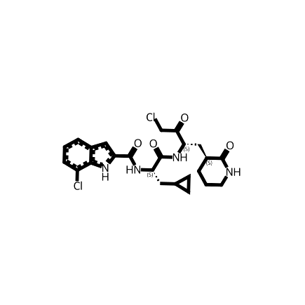 O=C(N[C@@H](CC1CC1)C(=O)N[C@@H](C[C@@H]1CCCNC1=O)C(=O)CCl)c1cc2cccc(Cl)c2[nH]1